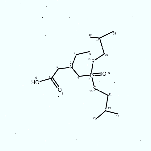 CCN(CC(=O)O)CP(=O)(SCC(C)C)SCC(C)C